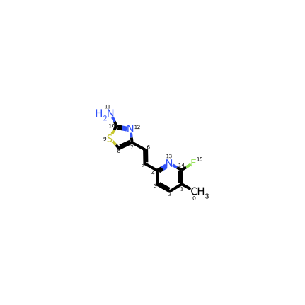 Cc1ccc(C=Cc2csc(N)n2)nc1F